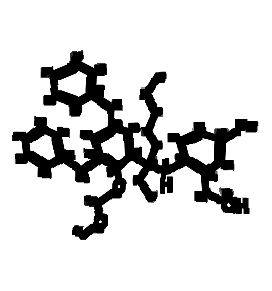 CCCCCC(CC)(Pc1ccc(F)cc1CO)c1cc(Cc2ccccc2)cc(Cc2ccccc2)c1OCOC